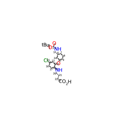 CC(C)(C)OC(=O)NCc1cccc(Oc2cc(Cl)ccc2NCCCC(=O)O)c1